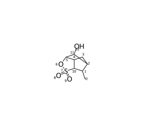 CC1C2CC3C(OS(=O)(=O)C13)C2O